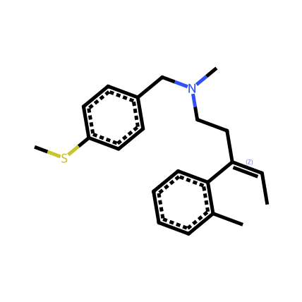 C/C=C(/CCN(C)Cc1ccc(SC)cc1)c1ccccc1C